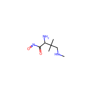 CNCC(C)(C)C(N)C(=O)N=O